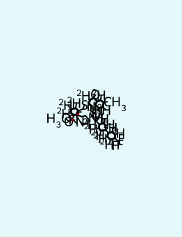 [2H]c1c([2H])c(F)c(F)c(CSc2c([2H])c(=O)c3c([2H])c(C)c([2H])c([2H])c3n2CC(=O)N(C2CCN(CCOC)CC2)C([2H])([2H])c2c([2H])c([2H])c(-c3c([2H])c([2H])c(C(F)(F)F)c([2H])c3[2H])c([2H])c2[2H])c1[2H]